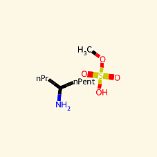 CCCCCC(N)CCC.COS(=O)(=O)O